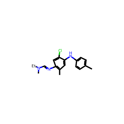 CCN(C)C=Nc1cc(Cl)c(Nc2ccc(C)cc2)cc1C